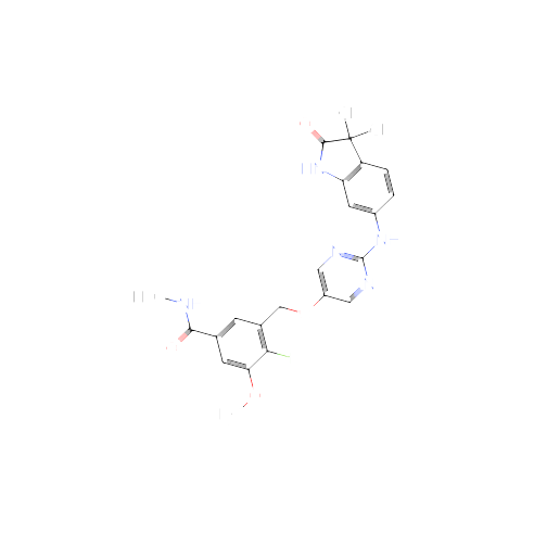 CNC(=O)c1cc(COc2cnc(Nc3ccc4c(c3)NC(=O)C4(C)C)nc2)c(F)c(OC)c1